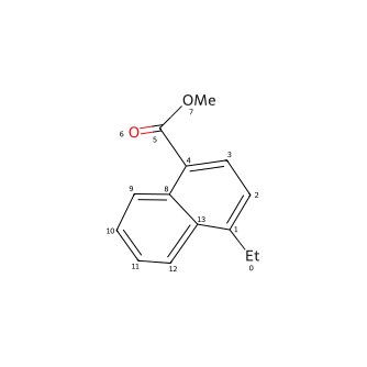 CCc1ccc(C(=O)OC)c2ccccc12